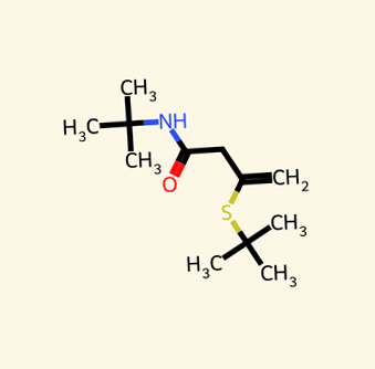 C=C(CC(=O)NC(C)(C)C)SC(C)(C)C